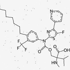 CCCCCCCCc1ccc(N(C(=O)OCC(NC)(C(=O)O)C(C)C)c2nc(-c3cccnc3)c(F)s2)cc1C(F)(F)F